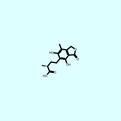 Cc1c(O)c(CC[C@H](C)C(=O)O)c(O)c2c1COC2=O